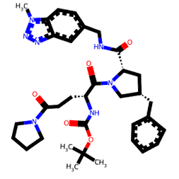 Cn1nnc2cc(CNC(=O)[C@@H]3C[C@H](Cc4ccccc4)CN3C(=O)[C@@H](CCC(=O)N3CCCC3)NC(=O)OC(C)(C)C)ccc21